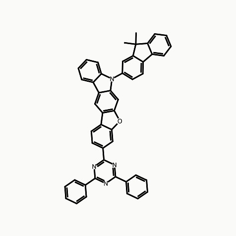 CC1(C)c2ccccc2-c2ccc(-n3c4ccccc4c4cc5c(cc43)oc3cc(-c4nc(-c6ccccc6)nc(-c6ccccc6)n4)ccc35)cc21